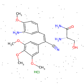 COc1ccc(/C=C(/C#N)c2cc(OC)c(OC)c(OC)c2)cc1N.Cl.NC(=O)[C@@H](N)CO